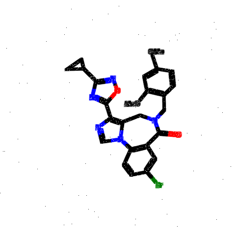 COc1ccc(CN2Cc3c(-c4nc(C5CC5)no4)ncn3-c3ccc(Br)cc3C2=O)c(OC)c1